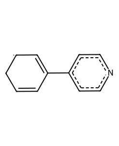 [CH]1C=C(c2ccncc2)C=CC1